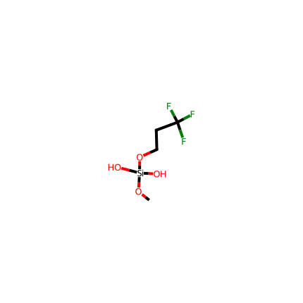 CO[Si](O)(O)OCCC(F)(F)F